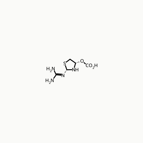 NC(N)=N[C@H]1N[C@@H](OC(=O)O)CS1